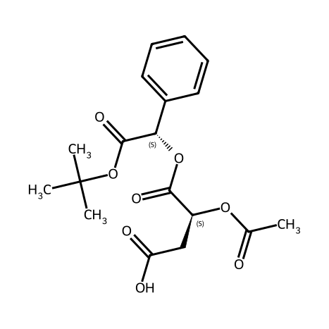 CC(=O)O[C@@H](CC(=O)O)C(=O)O[C@H](C(=O)OC(C)(C)C)c1ccccc1